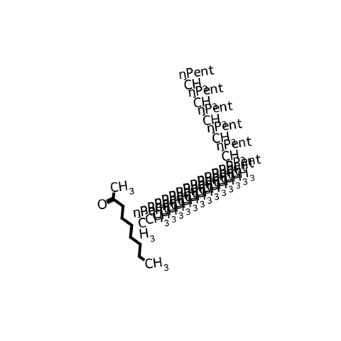 CCCCCC.CCCCCC.CCCCCC.CCCCCC.CCCCCC.CCCCCC.CCCCCC.CCCCCC.CCCCCC.CCCCCC.CCCCCC.CCCCCC.CCCCCC.CCCCCC.CCCCCC.CCCCCC.CCCCCC.CCCCCC.CCCCCC.CCCCCCCC(C)=O